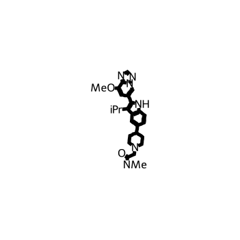 CNC(=O)CN1CCC(c2ccc3[nH]c(-c4cc(OC)c5ncnn5c4)c(C(C)C)c3c2)CC1